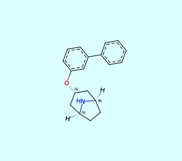 c1ccc(-c2cccc(O[C@@H]3C[C@H]4CC[C@@H](C3)N4)c2)cc1